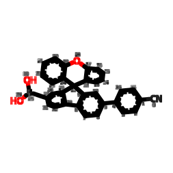 N#Cc1ccc(-c2ccc3c(c2)C2(c4ccccc4Oc4ccccc42)c2cc(B(O)O)ccc2-3)cc1